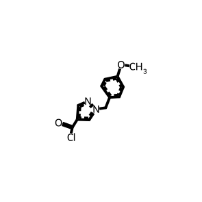 COc1ccc(Cn2cc(C(=O)Cl)cn2)cc1